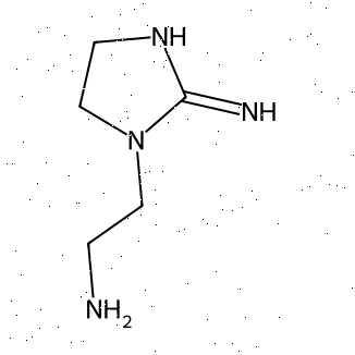 N=C1NCCN1CCN